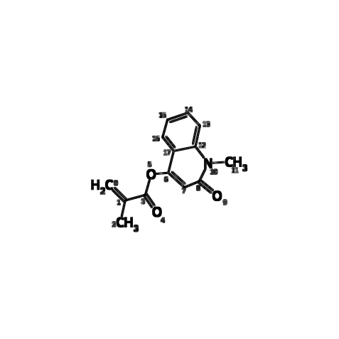 C=C(C)C(=O)Oc1cc(=O)n(C)c2ccccc12